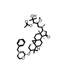 COC(C[C@@H](C)[C@H]1CC(=O)[C@@]2(C)C3CC[C@H]4C(C)(C)[C@@H](O[C@H]5CN(Cc6ccccc6)CCO5)CC[C@@]45CC35CC[C@]12C)[C@H](OC(C)=O)C(C)(C)O